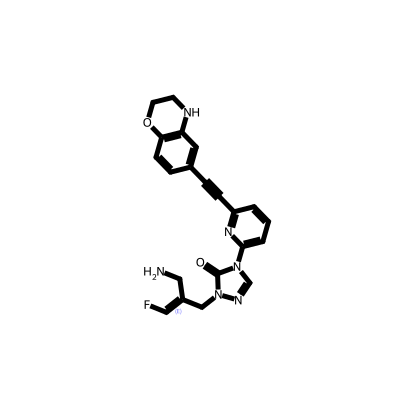 NC/C(=C\F)Cn1ncn(-c2cccc(C#Cc3ccc4c(c3)NCCO4)n2)c1=O